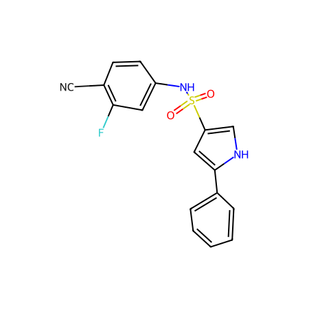 N#Cc1ccc(NS(=O)(=O)c2c[nH]c(-c3ccccc3)c2)cc1F